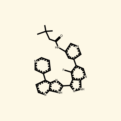 CC(C)(C)CC(=O)Nc1cncc(-c2cnc3[nH]nc(-c4nc5c(-c6cccnc6)ccnc5[nH]4)c3c2F)c1